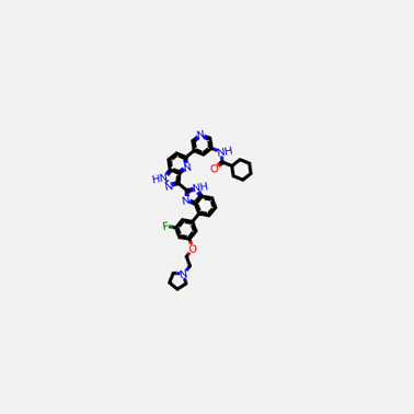 O=C(Nc1cncc(-c2ccc3[nH]nc(-c4nc5c(-c6cc(F)cc(OCCN7CCCC7)c6)cccc5[nH]4)c3n2)c1)C1CCCCC1